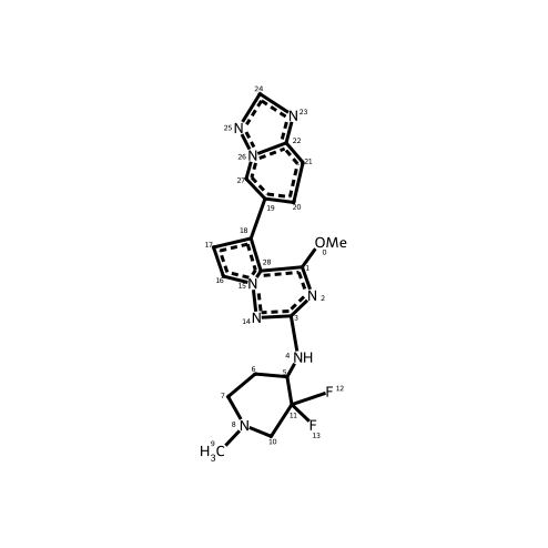 COc1nc(NC2CCN(C)CC2(F)F)nn2ccc(-c3ccc4ncnn4c3)c12